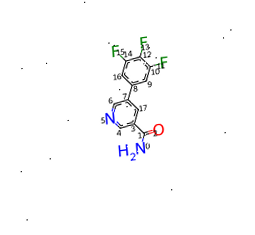 NC(=O)c1cncc(-c2cc(F)c(F)c(F)c2)c1